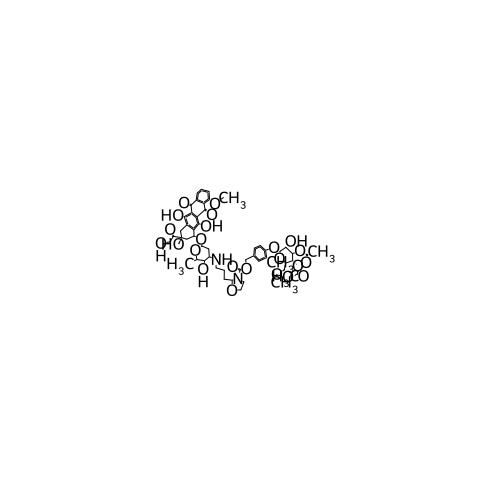 COC(=O)[C@H]1O[C@@H](Oc2ccc(COC(=O)N3CCOC3CCCNC3CC(OC4C[C@](O)(C(=O)CO)Cc5c(O)c6c(c(O)c54)C(=O)c4c(OC)cccc4C6=O)OC(C)C3O)cc2C)[C@H](O)[C@@H](OC(C)=O)[C@@H]1OC(C)=O